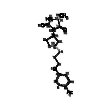 CC(=O)c1ccc(OCCC[C@@H]2CCN(N3C(=O)N[C@H](C)C3=O)C2)cc1